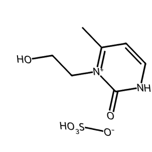 Cc1cc[nH]c(=O)[n+]1CCO.O=S(=O)([O-])O